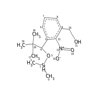 C[SiH](C)OC(c1cccc(CO)c1[N+](=O)[O-])C(C)(C)C